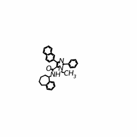 CCn1c(-c2ccccc2)nc(-c2ccc3ccccc3c2)c1C(=O)NC1CCCCc2ccccc21